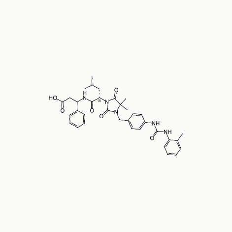 Cc1ccccc1NC(=O)Nc1ccc(CN2C(=O)N([C@@H](CC(C)C)C(=O)NC(CC(=O)O)c3ccccc3)C(=O)C2(C)C)cc1